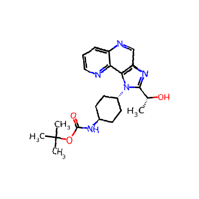 C[C@@H](O)c1nc2cnc3cccnc3c2n1[C@H]1CC[C@H](NC(=O)OC(C)(C)C)CC1